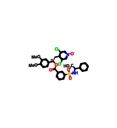 COc1ccc([C@H](Cc2c(Cl)c[n+]([O-])cc2Cl)OC(=O)c2cccc(S(=O)(=O)NC(C(=O)O)c3ccccc3)c2)cc1OC